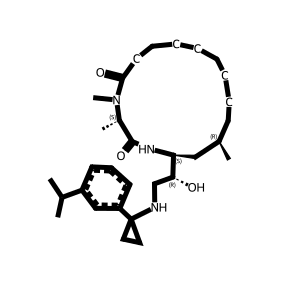 CC(C)c1cccc(C2(NC[C@@H](O)[C@@H]3C[C@H](C)CCCCCCCCC(=O)N(C)[C@@H](C)C(=O)N3)CC2)c1